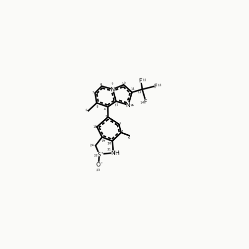 Cc1cc(-c2c(C)ccn3cc(C(F)(F)F)nc23)cc2c1N[S+]([O-])C2